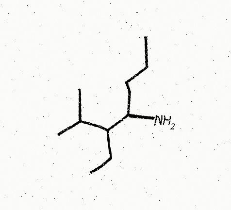 CCCC(N)C(CC)C(C)C